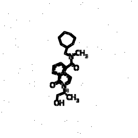 C[C@H](CO)n1ccc2c(C(=O)N(C)CC3CCCCCC3)cccc2c1=O